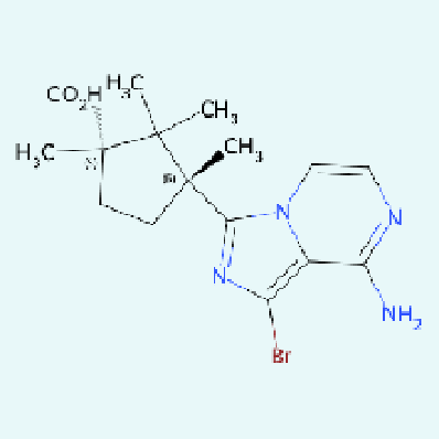 CC1(C)[C@](C)(c2nc(Br)c3c(N)nccn23)CC[C@]1(C)C(=O)O